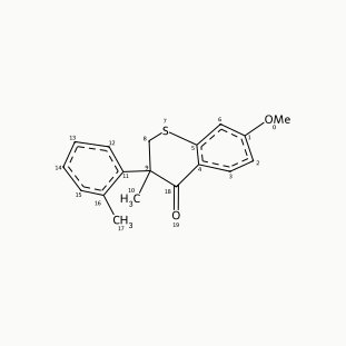 COc1ccc2c(c1)SCC(C)(c1ccccc1C)C2=O